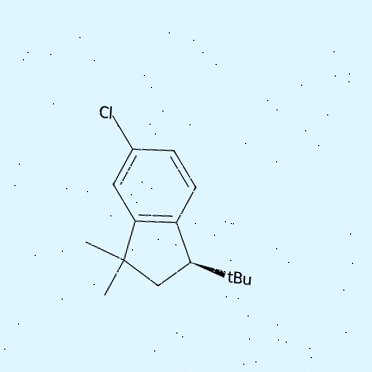 CC1(C)C[C@H](C(C)(C)C)c2ccc(Cl)cc21